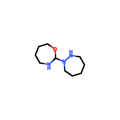 C1CCNN([C]2NCCCCO2)CC1